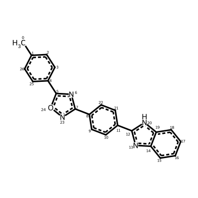 Cc1ccc(-c2nc(-c3ccc(-c4nc5ccccc5[nH]4)cc3)no2)cc1